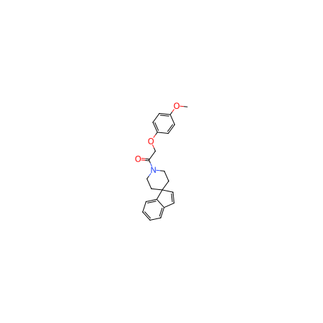 COc1ccc(OCC(=O)N2CCC3(C=Cc4ccccc43)CC2)cc1